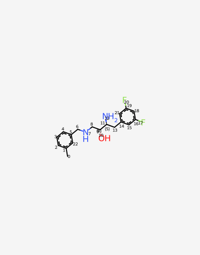 Cc1cccc(CNC[C@@H](O)[C@@H](N)Cc2cc(F)cc(F)c2)c1